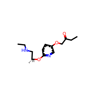 CCNC[C@@H](C)Oc1ccc(OCC(=O)CC)cn1